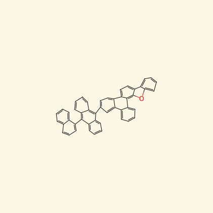 c1ccc2c(-c3c4ccccc4c(-c4ccc5c(c4)c4ccccc4c4c5ccc5c6ccccc6oc54)c4ccccc34)cccc2c1